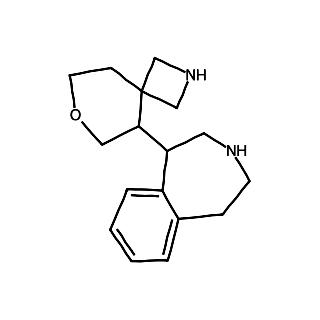 c1ccc2c(c1)CCNCC2C1COCCC12CNC2